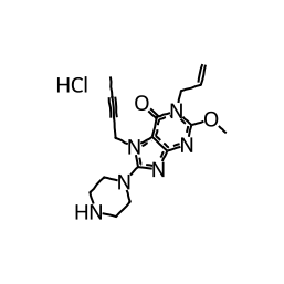 C=CCn1c(OC)nc2nc(N3CCNCC3)n(CC#CC)c2c1=O.Cl